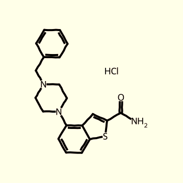 Cl.NC(=O)c1cc2c(N3CCN(Cc4ccccc4)CC3)cccc2s1